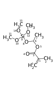 C=C(C)C(=O)OC(C)O[Si](OC)(OC)OC